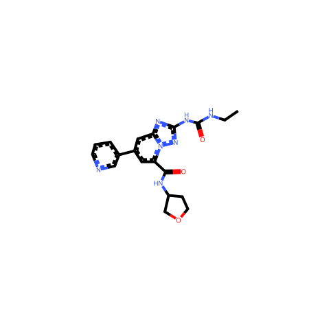 CCNC(=O)Nc1nc2cc(-c3cccnc3)cc(C(=O)NC3CCOC3)n2n1